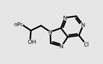 CCCC(O)Cn1cnc2c(Cl)ncnc21